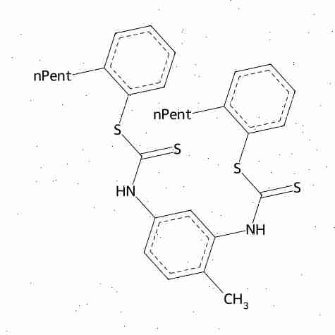 CCCCCc1ccccc1SC(=S)Nc1ccc(C)c(NC(=S)Sc2ccccc2CCCCC)c1